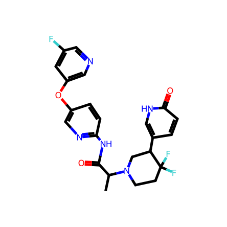 CC(C(=O)Nc1ccc(Oc2cncc(F)c2)cn1)N1CCC(F)(F)C(c2ccc(=O)[nH]c2)C1